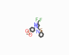 CS(=O)(=O)c1ccc(-n2nc(C(F)F)cc2-c2nc3ccccc3s2)cc1